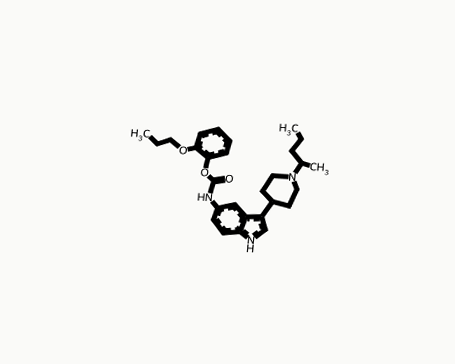 CCCOc1ccccc1OC(=O)Nc1ccc2[nH]cc(C3CCN(C(C)CCC)CC3)c2c1